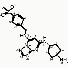 CS(=O)(=O)c1ccc(CNc2cc(N[C@H]3CC[C@H](N)CC3)nc3ncnn23)cc1